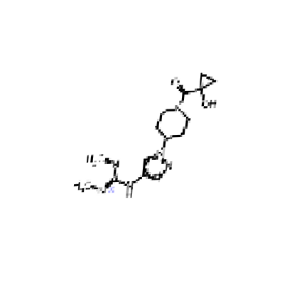 C=N/C(=N\C)Nc1cnn(C2CCN(C(=O)C3(O)CC3)CC2)c1